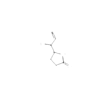 C=CC(O)C1CCC(=O)O1